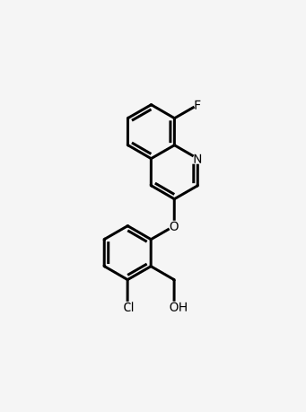 OCc1c(Cl)cccc1Oc1cnc2c(F)cccc2c1